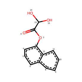 O=C(Oc1cccc2ccccc12)C(O)O